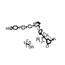 CC(C)(c1ccc(OCc2ccnc(N3CCN(N4CCN(C5CCC6(CC5)CNC6)CC4)CC3)n2)cc1)c1cc(Cl)cc(C#N)c1.O=C(O)C(F)(F)F